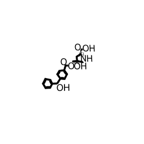 O=C(OC[C@]1(O)CN[C@H](C(=O)O)C1)c1ccc(C(O)c2ccccc2)cc1